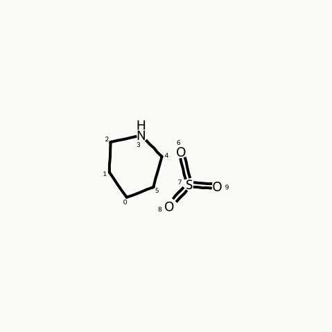 C1CCNCC1.O=S(=O)=O